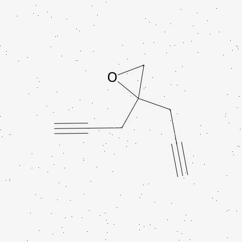 C#CCC1(CC#C)CO1